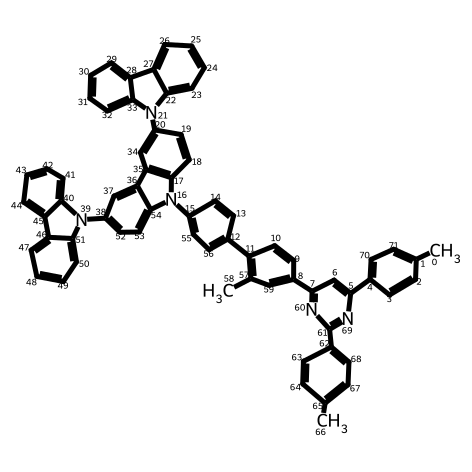 Cc1ccc(-c2cc(-c3ccc(-c4ccc(-n5c6ccc(-n7c8ccccc8c8ccccc87)cc6c6cc(-n7c8ccccc8c8ccccc87)ccc65)cc4)c(C)c3)nc(-c3ccc(C)cc3)n2)cc1